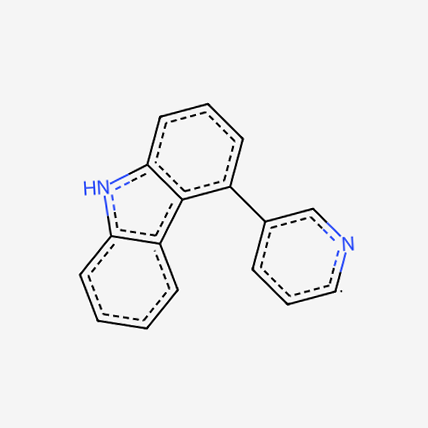 [c]1ccc(-c2cccc3[nH]c4ccccc4c23)cn1